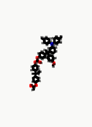 CCC(C)(c1ccc(OC(C)=O)cc1)c1ccc(OC(=O)Oc2ccc(C(C)(c3ccc(OC)cc3)c3cccc(N(c4ccc(C)cc4)c4ccc(C)cc4)c3)cc2)cc1